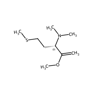 C=C(OC)[C@H](CCSC)N(C)C